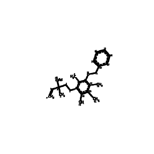 C=CC(C)(CCc1c(C)c(OCc2ccccc2)c(C)c(C)c1O)OC(C)=O